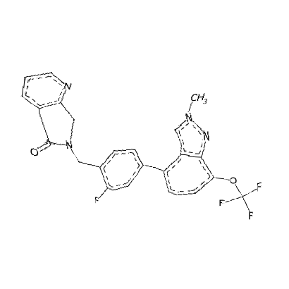 Cn1cc2c(-c3ccc(CN4Cc5ncccc5C4=O)c(F)c3)ccc(OC(F)(F)F)c2n1